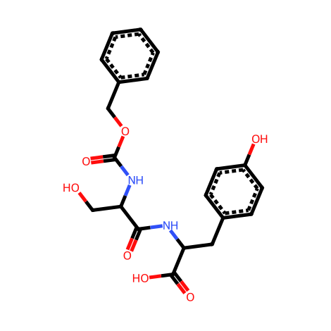 O=C(NC(CO)C(=O)NC(Cc1ccc(O)cc1)C(=O)O)OCc1ccccc1